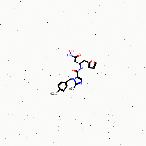 CCCCc1ncc(C(=O)N[C@@H](CC(=O)NO)Cc2ccco2)n1Cc1ccc(C(=O)O)cc1